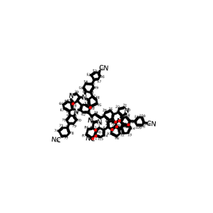 N#Cc1ccc(-c2ccc3c(c2)c2ccccc2n3-c2cnccc2-c2ccc(-c3cc(-c4ccc(-c5ccncc5-n5c6ccccc6c6cc(-c7ccc(C#N)cc7)ccc65)c(-n5c6ccccc6c6cc(-c7ccc(C#N)cc7)ccc65)c4)nc(-c4ccccc4)n3)cc2-n2c3ccccc3c3cc(-c4ccc(C#N)cc4)ccc32)cc1